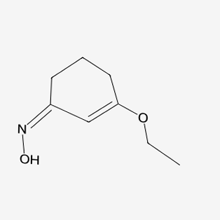 CCOC1=C/C(=N\O)CCC1